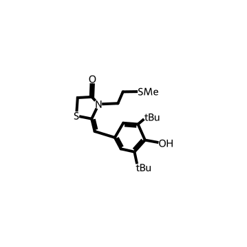 CSCCN1C(=O)CSC1=Cc1cc(C(C)(C)C)c(O)c(C(C)(C)C)c1